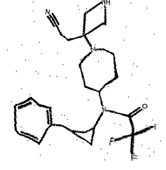 N#CCC1(N2CCC(N(C(=O)C(F)(F)F)C3CC3c3ccccc3)CC2)CNC1